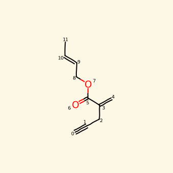 C#CCC(=C)C(=O)OCC=CC